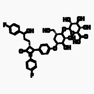 O=C(O)[C@H]1OC(O[C@@H]2[C@@H](CO)C[C@@H](Oc3ccc([C@@H]4[C@@H](CC[C@H](O)c5ccc(F)cc5)C(=O)N4c4ccc(F)cc4)cc3)[C@H](O)[C@H]2O)[C@H](O)[C@@H](O)[C@@H]1O